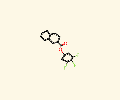 O=C(Oc1cc(F)c(F)c(F)c1)c1ccc2ccccc2c1